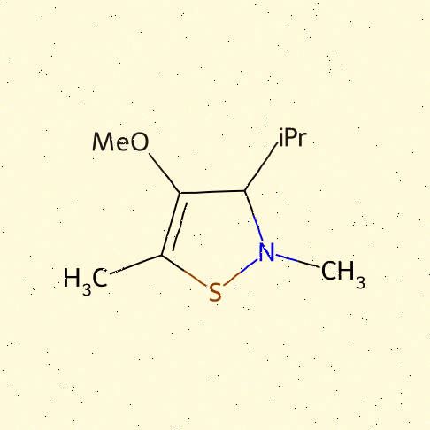 COC1=C(C)SN(C)C1C(C)C